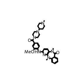 COc1cc(C(=O)N2CCN(C3CCN(C)CC3)CC2)ccc1Nc1ccc2c(n1)N(C)c1ccccc1C(=O)N2C